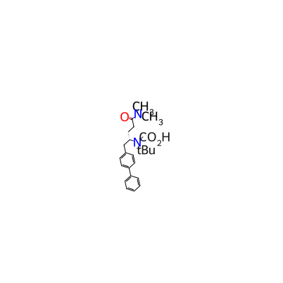 CN(C)C(=O)CC[C@@H](Cc1ccc(-c2ccccc2)cc1)N(C(=O)O)C(C)(C)C